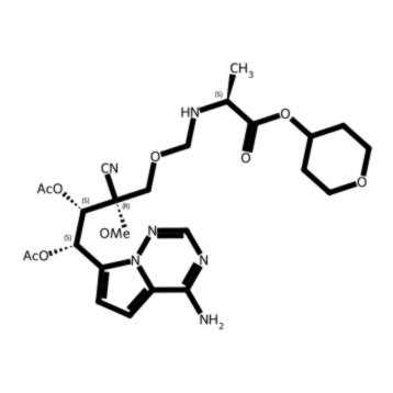 CO[C@](C#N)(COCN[C@@H](C)C(=O)OC1CCOCC1)[C@@H](OC(C)=O)[C@@H](OC(C)=O)c1ccc2c(N)ncnn12